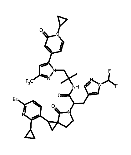 CC(C)(Cn1nc(C(F)(F)F)cc1-c1ccn(C2CC2)c(=O)c1)NC(=O)[C@@H](Cc1cnn(C(F)F)c1)N1CCC2(CC2c2ccc(Br)nc2C2CC2)C1=O